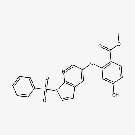 COC(=O)c1ccc(O)cc1Oc1cnc2c(ccn2S(=O)(=O)c2ccccc2)c1